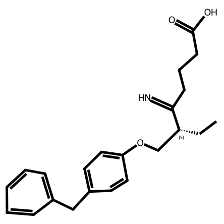 CC[C@H](COc1ccc(Cc2ccccc2)cc1)C(=N)CCCC(=O)O